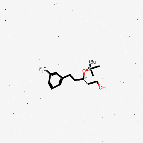 CC(C)(C)[Si](C)(C)O[C@H](CCO)CCc1cccc(C(F)(F)F)c1